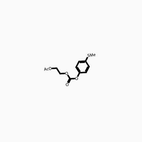 CSc1ccc(OC(=O)OCCOC(C)=O)cc1